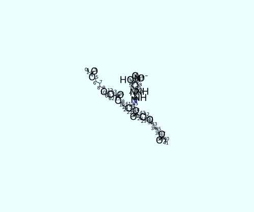 C=CC(=O)OCCCCCOc1ccc(C(=O)OCCc2ccc(OC(=O)c3ccc(OCCCCCOC(=O)C=C)cc3)c(/C=N/Nc3nc4cc(O)c([N+](=O)[O-])cc4[nH]3)c2)cc1